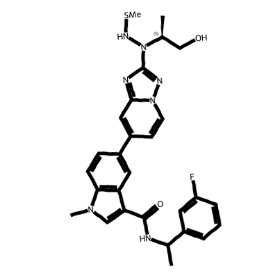 CSNN(c1nc2cc(-c3ccc4c(c3)c(C(=O)NC(C)c3cccc(F)c3)cn4C)ccn2n1)[C@@H](C)CO